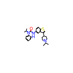 CC(C)N1CCC(c2csc3ccc(NC(=O)N(c4ccccc4)C(C)C)cc23)CC1